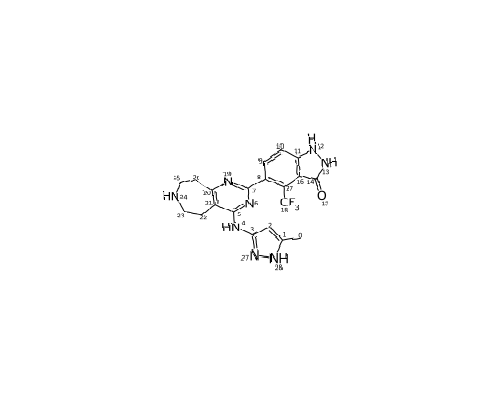 Cc1cc(Nc2nc(-c3ccc4[nH][nH]c(=O)c4c3C(F)(F)F)nc3c2CCNCC3)n[nH]1